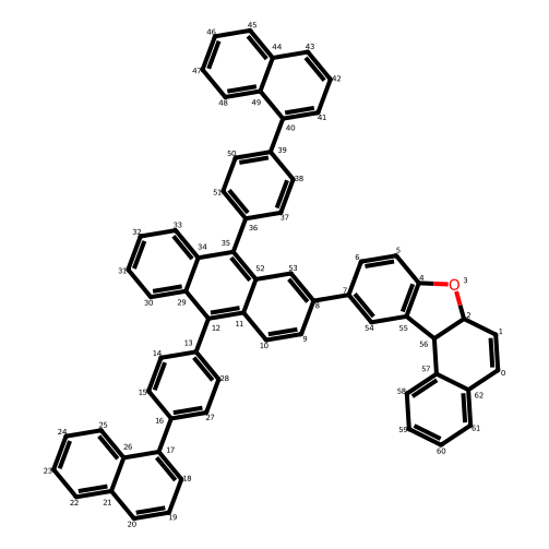 C1=CC2Oc3ccc(-c4ccc5c(-c6ccc(-c7cccc8ccccc78)cc6)c6ccccc6c(-c6ccc(-c7cccc8ccccc78)cc6)c5c4)cc3C2c2ccccc21